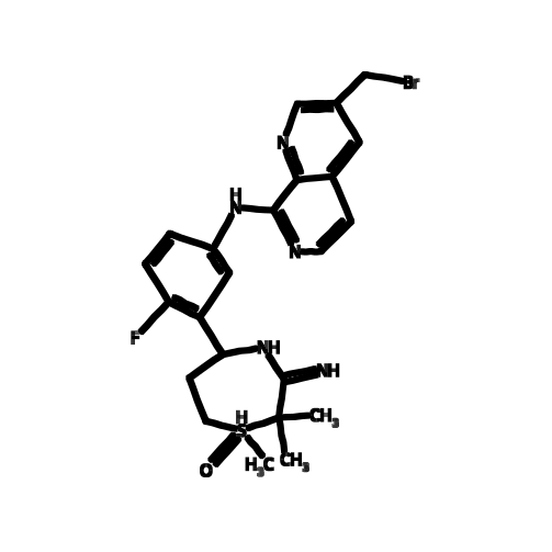 CC1(C)C(=N)NC(c2cc(Nc3nccc4cc(CBr)cnc34)ccc2F)CC[SH]1(C)=O